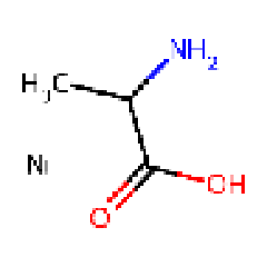 CC(N)C(=O)O.[Ni]